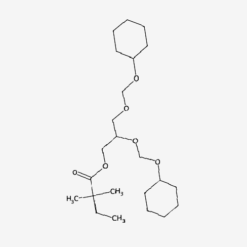 CCC(C)(C)C(=O)OCC(COCOC1CCCCC1)OCOC1CCCCC1